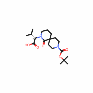 CC(C)[C@@H](C(=O)O)N1CCCC2(CCN(C(=O)OC(C)(C)C)CC2)C1=O